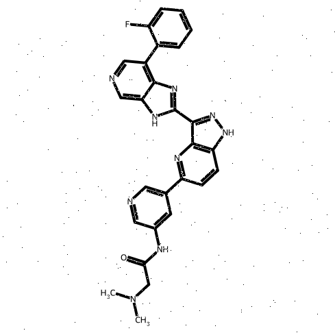 CN(C)CC(=O)Nc1cncc(-c2ccc3[nH]nc(-c4nc5c(-c6ccccc6F)cncc5[nH]4)c3n2)c1